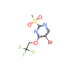 CS(=O)(=O)c1ncc(Br)c(OCC(F)(F)F)n1